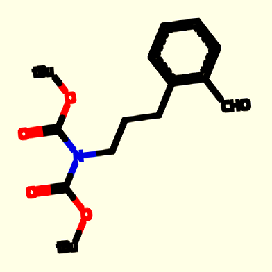 CC(C)(C)OC(=O)N(CCCc1ccccc1C=O)C(=O)OC(C)(C)C